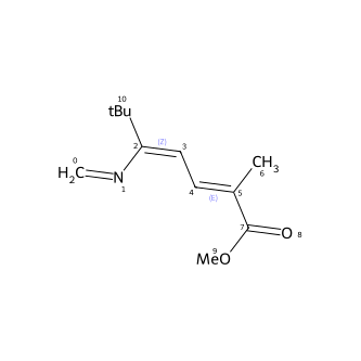 C=N/C(=C\C=C(/C)C(=O)OC)C(C)(C)C